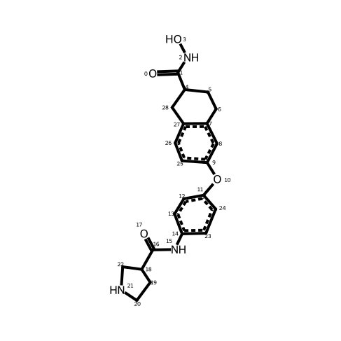 O=C(NO)C1CCc2cc(Oc3ccc(NC(=O)C4CCNC4)cc3)ccc2C1